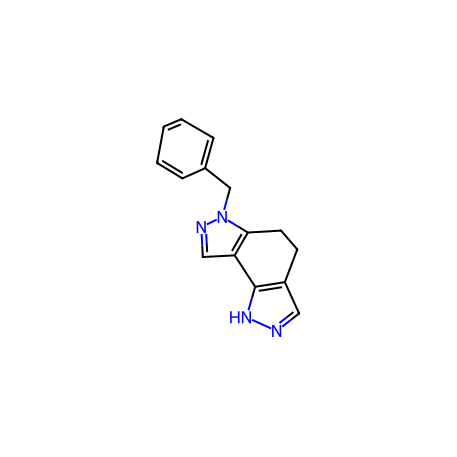 c1ccc(Cn2ncc3c2CCc2cn[nH]c2-3)cc1